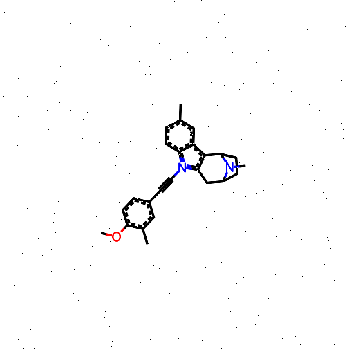 COc1ccc(C#Cn2c3c(c4cc(C)ccc42)C2CCC(C3)N2C)cc1C